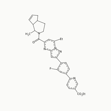 CCOC(=O)c1ccc(-c2ccc(-c3cc4nc(C(=O)N5CCC6CC=CC6C5C)cc(CC)n4n3)c(F)c2)nc1